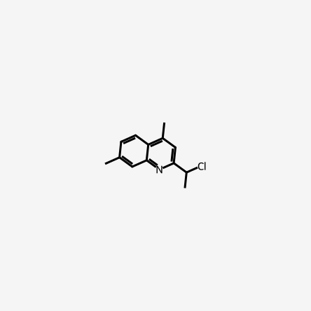 Cc1ccc2c(C)cc(C(C)Cl)nc2c1